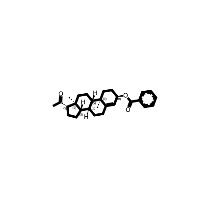 CC(=O)[C@H]1CC[C@H]2[C@@H]3CCC4=C[C@H](OC(=O)c5ccccc5)CC[C@]4(C)[C@H]3CC[C@]12C